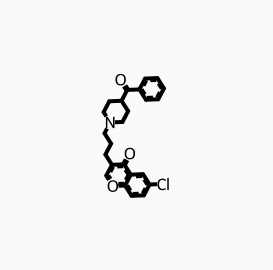 O=C(c1ccccc1)C1CCN(CCCc2coc3ccc(Cl)cc3c2=O)CC1